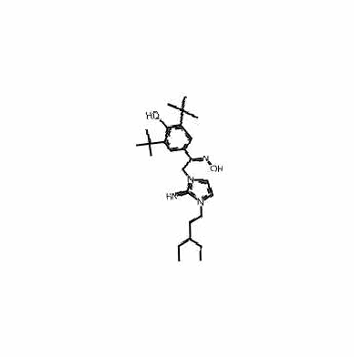 CCC(CC)CCn1ccn(C/C(=N\O)c2cc(C(C)(C)C)c(O)c(C(C)(C)C)c2)c1=N